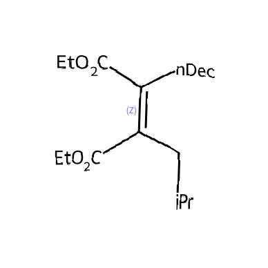 CCCCCCCCCC/C(C(=O)OCC)=C(\CC(C)C)C(=O)OCC